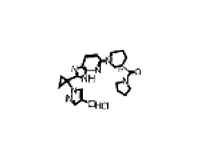 Cl.O=C([C@@H]1CCCN(c2ccc3nc(C4(n5cc(Cl)cn5)CC4)[nH]c3n2)C1)N1CCCC1